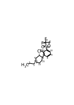 CCCN1CCC(c2cccc(S(=O)(=O)C(F)(F)F)c2Cl)CC1